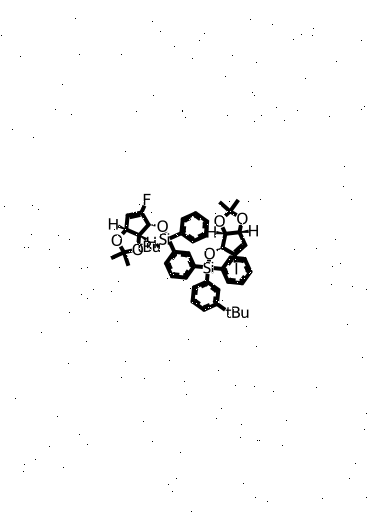 CC1(C)O[C@@H]2[C@@H](C=C(F)[C@@H]2O[Si](c2ccccc2)(c2cccc([Si](O[C@H]3C(I)=C[C@H]4OC(C)(C)O[C@H]43)(c3ccccc3)c3cccc(C(C)(C)C)c3)c2)C(C)(C)C)O1